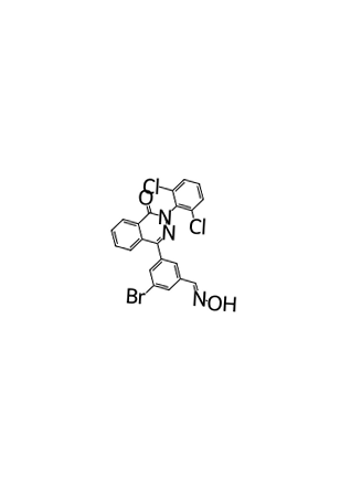 O=c1c2ccccc2c(-c2cc(Br)cc(C=NO)c2)nn1-c1c(Cl)cccc1Cl